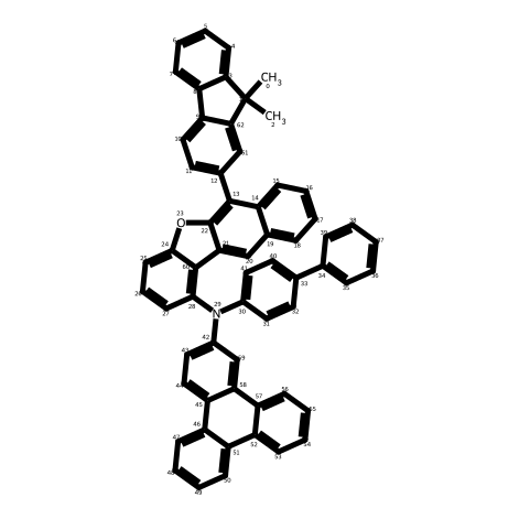 CC1(C)c2ccccc2-c2ccc(-c3c4ccccc4cc4c3oc3cccc(N(c5ccc(-c6ccccc6)cc5)c5ccc6c7ccccc7c7ccccc7c6c5)c34)cc21